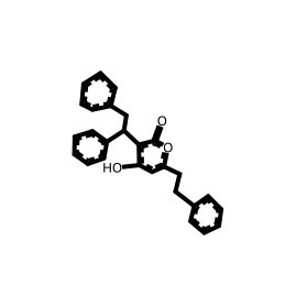 O=c1oc(CCc2ccccc2)cc(O)c1C(Cc1ccccc1)c1ccccc1